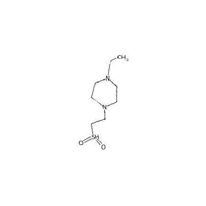 CCN1CCN(CC[SH](=O)=O)CC1